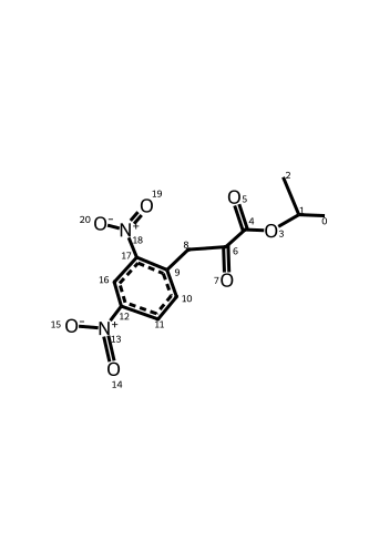 CC(C)OC(=O)C(=O)Cc1ccc([N+](=O)[O-])cc1[N+](=O)[O-]